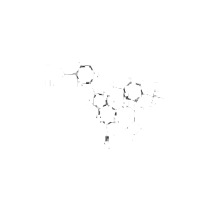 CC(C)c1ccnc(-c2nc3nc(C#N)nc(N[C@H](C)C4CCC4)c3n2Cc2ccc(C(F)(F)F)cc2)n1